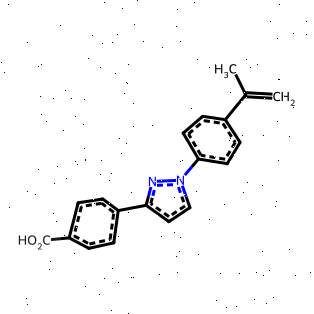 C=C(C)c1ccc(-n2ccc(-c3ccc(C(=O)O)cc3)n2)cc1